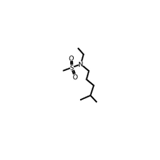 CCN(CCCC(C)C)S(C)(=O)=O